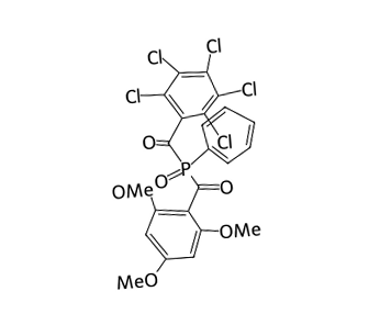 COc1cc(OC)c(C(=O)P(=O)(C(=O)c2c(Cl)c(Cl)c(Cl)c(Cl)c2Cl)c2ccccc2)c(OC)c1